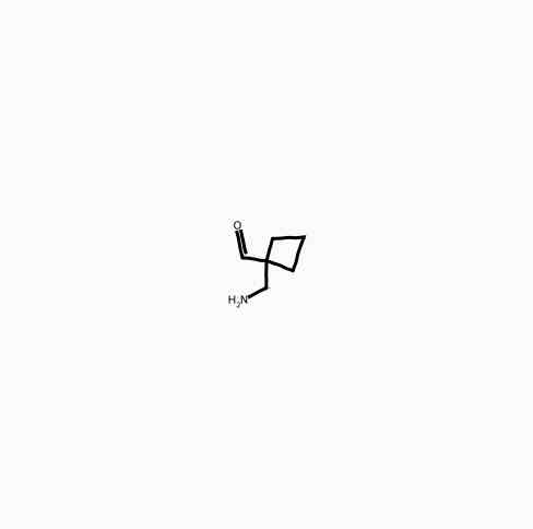 N[CH]C1(C=O)CCC1